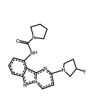 O=C(Nc1cccc2nn3ccc(N4CCC(F)C4)nc3c12)N1CCCC1